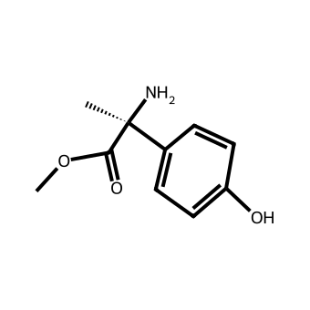 COC(=O)[C@@](C)(N)c1ccc(O)cc1